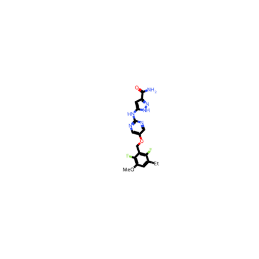 CCc1cc(OC)c(F)c(COc2cnc(Nc3cc(C(N)=O)n[nH]3)nc2)c1F